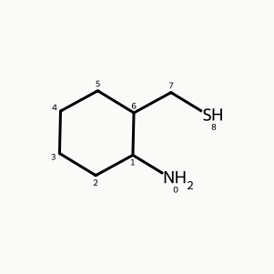 NC1CCCCC1CS